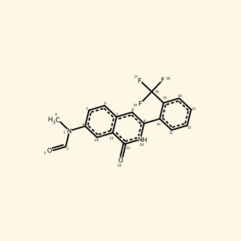 CN(C=O)c1ccc2cc(-c3ccccc3C(F)(F)F)[nH]c(=O)c2c1